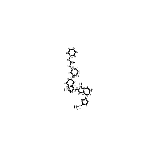 Cc1ccc(-c2cncc3[nH]c(-c4n[nH]c5cnc(-c6cncc(CNCc7ccccc7)c6)cc45)cc23)s1